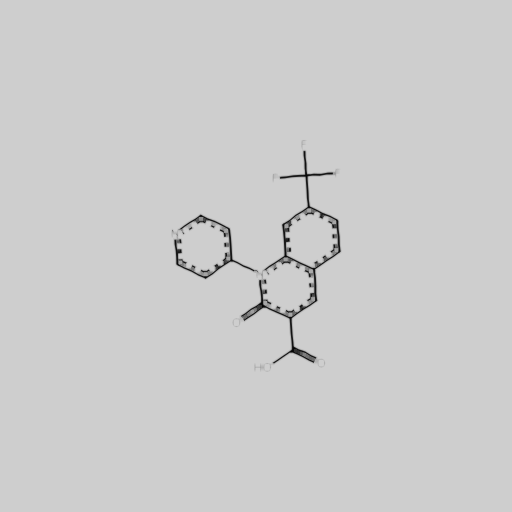 O=C(O)c1cc2ccc(C(F)(F)F)cc2n(-c2ccncc2)c1=O